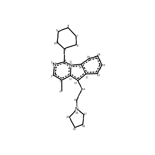 Cc1cnc(C2CCCCC2)n2c1c(CCN1CCCC1)c1ccccc12